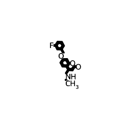 CCNCc1cc(=O)oc2cc(OCc3cccc(F)c3)ccc12